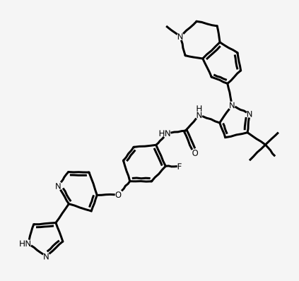 CN1CCc2ccc(-n3nc(C(C)(C)C)cc3NC(=O)Nc3ccc(Oc4ccnc(-c5cn[nH]c5)c4)cc3F)cc2C1